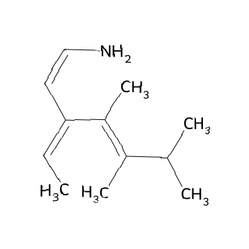 C/C=C(/C=C\N)C(\C)=C(/C)C(C)C